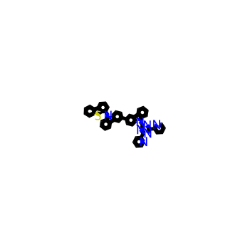 c1ccc(-c2nc(-c3ccccn3)nc(-n3c4ccccc4c4cc(-c5ccc6c(c5)c5ccccc5n6-c5cccc6c5sc5ccccc56)ccc43)n2)nc1